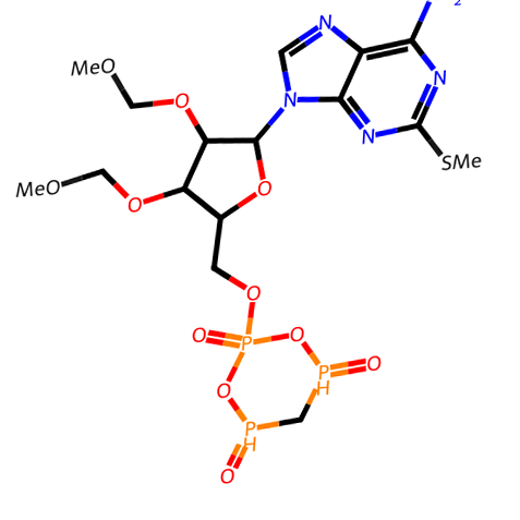 COCOC1C(COP2(=O)O[PH](=O)C[PH](=O)O2)OC(n2cnc3c(N)nc(SC)nc32)C1OCOC